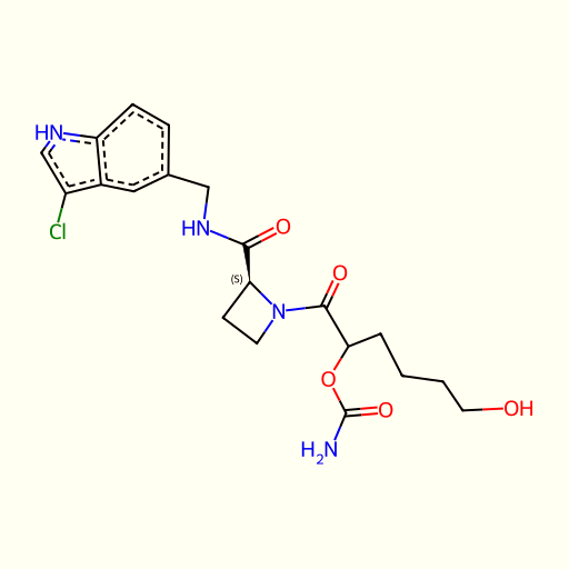 NC(=O)OC(CCCCO)C(=O)N1CC[C@H]1C(=O)NCc1ccc2[nH]cc(Cl)c2c1